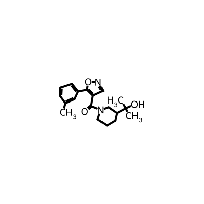 Cc1cccc(-c2oncc2C(=O)N2CCCC(C(C)(C)O)C2)c1